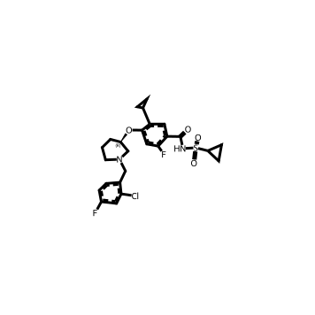 O=C(NS(=O)(=O)C1CC1)c1cc(C2CC2)c(O[C@@H]2CCCN(Cc3ccc(F)cc3Cl)C2)cc1F